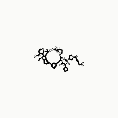 CCn1c(-c2cnccc2[C@H](C)OC)c2c3cc(ccc31)-c1cccc(c1)C[C@H](NC(=O)[C@H](C1CCCC1)N(C)C(=O)[C@H]1CCN(C(=O)C#CCN(C)C)C1)C(=O)N1CCC[C@H](N1)C(=O)OCC(C)(C)C2